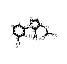 CCC(=O)Oc1cnn(-c2cccc(CC)c2)c1N